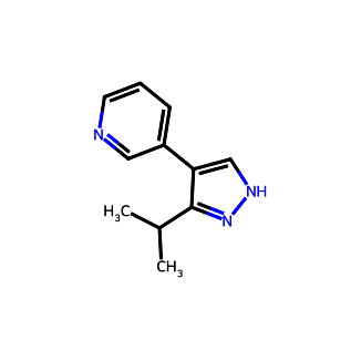 CC(C)c1n[nH]cc1-c1cccnc1